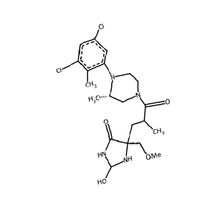 COCC1(CC(C)C(=O)N2CCN(c3cc(Cl)cc(Cl)c3C)[C@@H](C)C2)NC(O)NC1=O